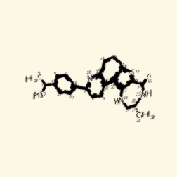 CC(S)c1ccc(-c2ccc3c(ccc4sc5c(c43)NC[C@@H](C)NC5=O)n2)cc1